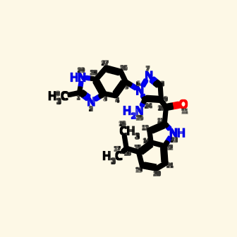 Cc1nc2cc(-n3ncc(C(=O)c4cc5c(C(C)C)cccc5[nH]4)c3N)ccc2[nH]1